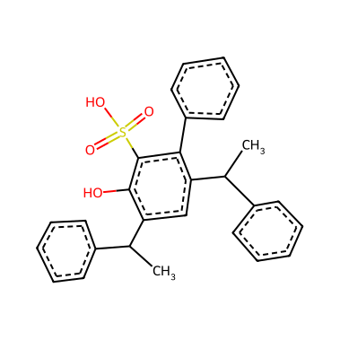 CC(c1ccccc1)c1cc(C(C)c2ccccc2)c(-c2ccccc2)c(S(=O)(=O)O)c1O